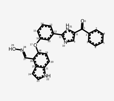 O=C(c1ccccc1)c1cnc(-c2cccc(Oc3ccc4[nH]ccc4c3C=NO)c2)[nH]1